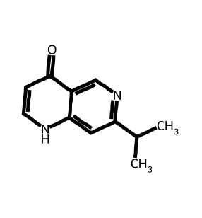 CC(C)c1cc2[nH]ccc(=O)c2cn1